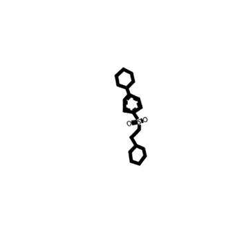 O=S(=O)(CC[C]1CCCCC1)c1ccc(C2CCCCC2)cc1